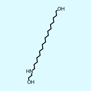 OCCCCCCCCCCCCCCCCCCNCCO